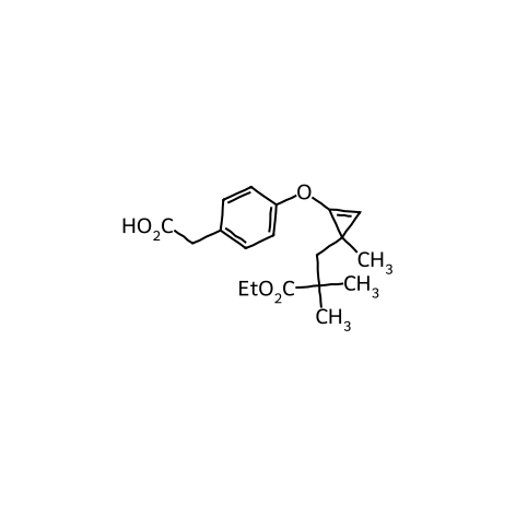 CCOC(=O)C(C)(C)CC1(C)C=C1Oc1ccc(CC(=O)O)cc1